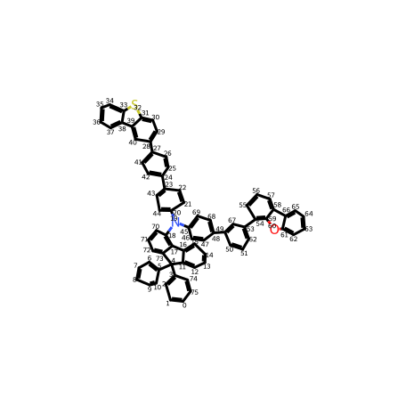 c1ccc(C2(c3ccccc3)c3ccccc3-c3c(N(c4ccc(-c5ccc(-c6ccc7sc8ccccc8c7c6)cc5)cc4)c4ccc(-c5cccc(-c6cccc7c6oc6ccccc67)c5)cc4)cccc32)cc1